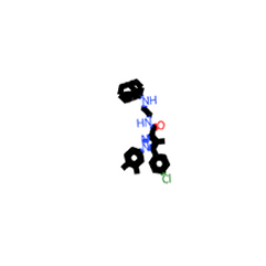 Cc1ccc(-n2nc(C(=O)NCCNC3C4CC5CC(C4)CC3C5)c(C)c2-c2ccc(Cl)cc2)cc1C